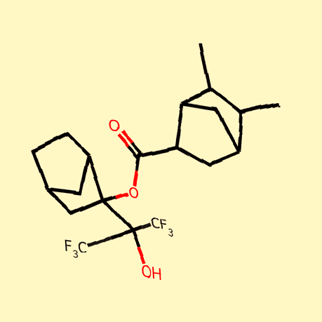 CC1C2CC(C(=O)OC3(C(O)(C(F)(F)F)C(F)(F)F)CC4CCC3C4)C(C2)C1C